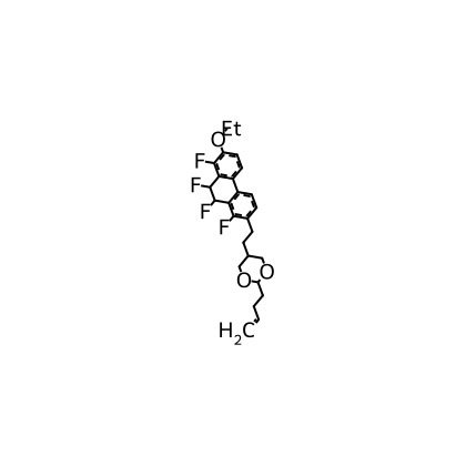 C=CCCC1OCC(CCc2ccc3c(c2F)C(F)C(F)c2c-3ccc(OCC)c2F)CO1